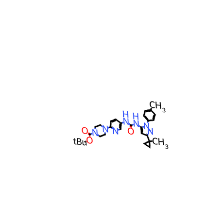 Cc1ccc(-n2nc(C3(C)CC3)cc2NC(=O)Nc2ccc(N3CCN(C(=O)OC(C)(C)C)CC3)nc2)cc1